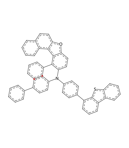 c1ccc(-c2ccc(N(c3ccc(-c4cccc5c4sc4ccccc45)cc3)c3ccc4oc5ccc6ccccc6c5c4c3-c3ccccc3)cc2)cc1